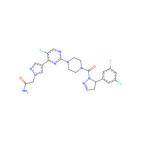 NC(=O)Cn1cc(-c2nc(N3CCN(C(=O)N4N=CCC4c4cc(F)cc(F)c4)CC3)ncc2F)cn1